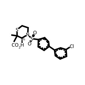 CC1(C)SCCN(S(=O)(=O)c2ccc(-c3cccc(Cl)c3)cc2)[C@H]1C(=O)O